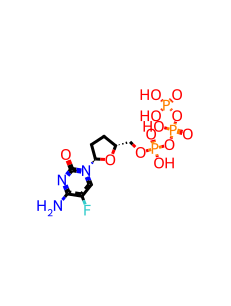 Nc1nc(=O)n([C@@H]2CC[C@H](COP(=O)(O)OP(=O)(O)OP(=O)(O)O)O2)cc1F